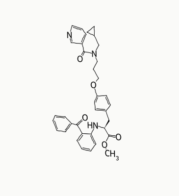 COC(=O)[C@H](Cc1ccc(OCCCN(CC2CC2)C(=O)c2cccnc2)cc1)Nc1ccccc1C(=O)c1ccccc1